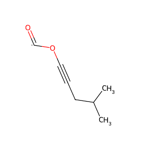 CC(C)CC#CO[C]=O